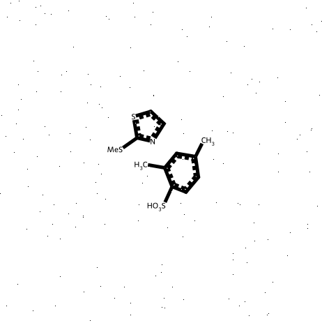 CSc1nccs1.Cc1ccc(S(=O)(=O)O)c(C)c1